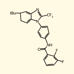 CC(C)(C)C1C=c2nc(C(F)(F)F)n(-c3ccc(NC(=O)c4cccc(F)c4F)cc3)c2=CC1